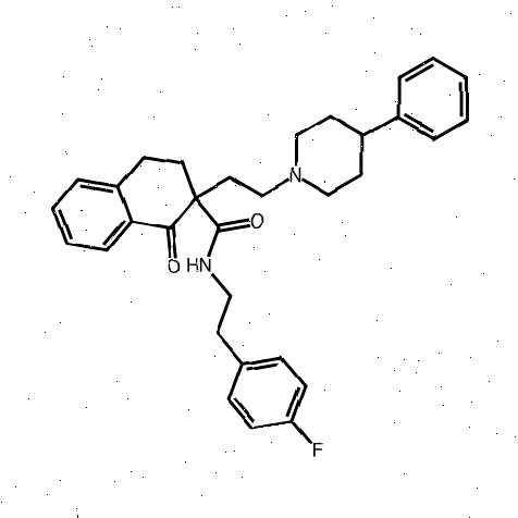 O=C(NCCc1ccc(F)cc1)C1(CCN2CCC(c3ccccc3)CC2)CCc2ccccc2C1=O